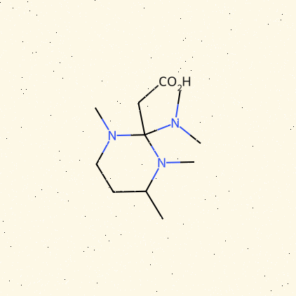 CC1CCN(C)C(CC(=O)O)(N(C)C)N1C